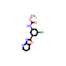 COC(=O)Nc1cc(Br)cc(-c2nc3ncccc3o2)c1